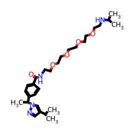 CC(C)NCCOCCOCCOCCOCCNC(=O)c1ccc(C(C)n2cc(C(C)C)cn2)cc1